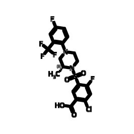 C[C@@H]1CN(c2ccc(F)cc2C(F)(F)F)CCN1S(=O)(=O)c1cc(C(=O)O)c(Cl)cc1F